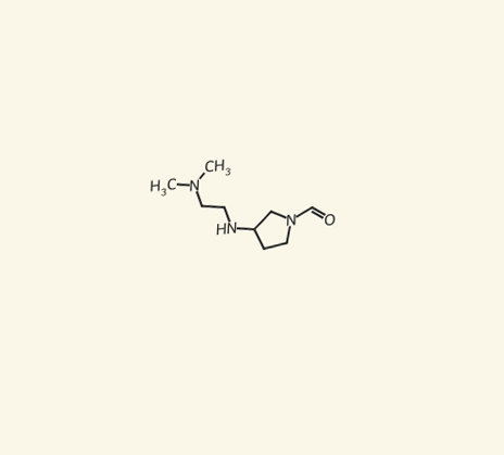 CN(C)CCNC1CCN(C=O)C1